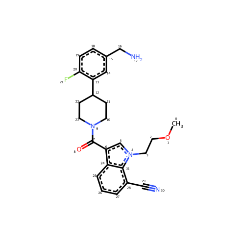 COCCn1cc(C(=O)N2CCC(c3cc(CN)ccc3F)CC2)c2cccc(C#N)c21